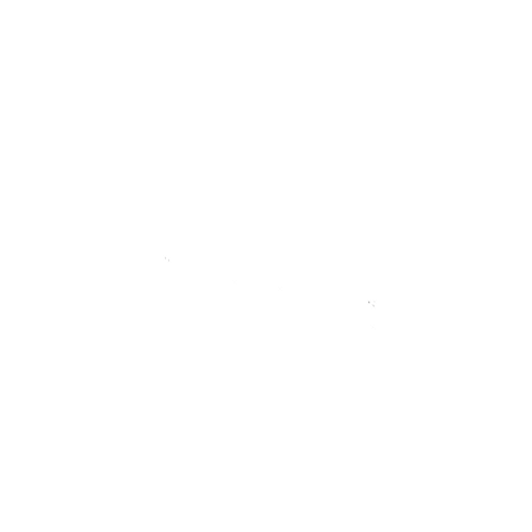 ClN(Cl)CCCCCCCCN(Cl)Cl